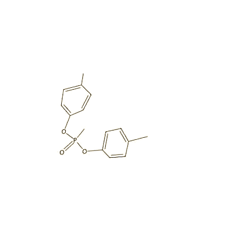 Cc1ccc(OP(C)(=O)Oc2ccc(C)cc2)cc1